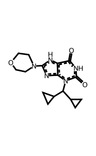 O=c1[nH]c(=O)n(C(C2CC2)C2CC2)c2nc(N3CCOCC3)[nH]c12